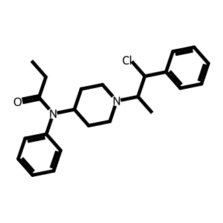 CCC(=O)N(c1ccccc1)C1CCN(C(C)C(Cl)c2ccccc2)CC1